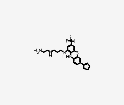 NCCNCCCNc1cc(C(F)(F)F)cc2c1Nc1ccc(C3=CCCC3)cc1S2